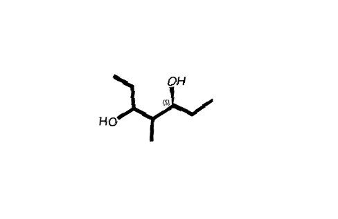 CCC(O)C(C)[C@@H](O)CC